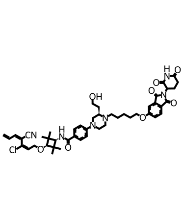 C=C/C=C(C#N)\C(Cl)=C/CO[C@H]1C(C)(C)[C@H](NC(=O)c2ccc(N3CCN(CCCCCOc4ccc5c(c4)C(=O)N(C4CCC(=O)NC4=O)C5=O)[C@H](CCO)C3)cc2)C1(C)C